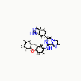 c1cn2cc(-c3ccc4cn[nH]c4c3)nc(Nc3ccc(OC4CCCCC4)cc3)c2n1